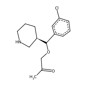 CC(=O)COC(c1cccc(Cl)c1)[C@@H]1CCCNC1